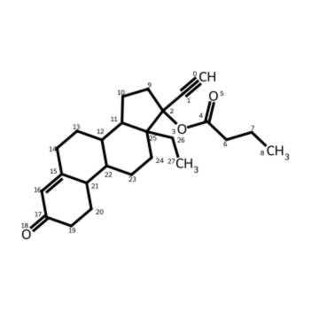 C#CC1(OC(=O)CCC)CCC2C3CCC4=CC(=O)CCC4C3CCC21CC